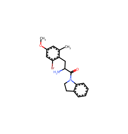 COc1cc(C)c(CC(N)C(=O)N2CCc3ccccc32)c(Br)c1